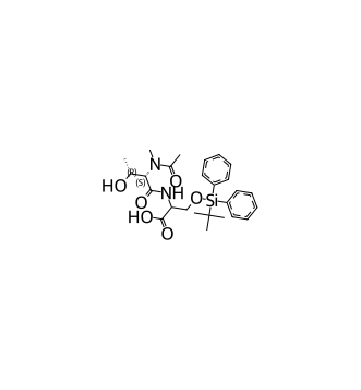 CC(=O)N(C)[C@H](C(=O)NC(CO[Si](c1ccccc1)(c1ccccc1)C(C)(C)C)C(=O)O)[C@@H](C)O